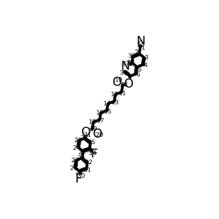 N#Cc1ccc2cc(OC(=O)CCCCCCCCC(=O)Oc3ccc(-c4ccc(F)cc4)c(F)c3)cnc2c1